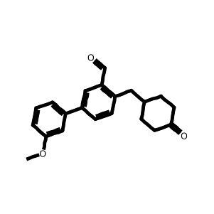 COc1cccc(-c2ccc(CC3CCC(=O)CC3)c(C=O)c2)c1